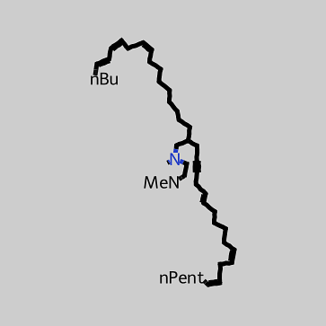 CCCC/C=C/C=C\C/C=C\CCCCCCCCC(CC#CCC=CCCCC/C=C\C/C=C\CCCCC)CN(C)CCNC